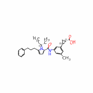 CC[C@H](C)n1c(CCCc2ccccc2)ccc1C(=O)Nc1cc(C)cc([C@H]2C[C@@H]2C(=O)O)c1